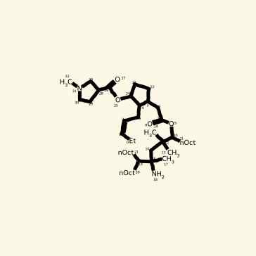 CC/C=C\CC1C(CC(=O)OC(CCCCCCCC)C(C)(C)CC(C)(N)C(CCCCCCCC)CCCCCCCC)CCC1OC(=O)C1CCN(C)C1